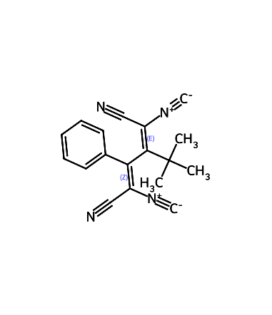 [C-]#[N+]/C(C#N)=C(\C(=C(/C#N)[N+]#[C-])C(C)(C)C)c1ccccc1